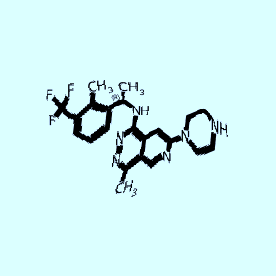 Cc1c([C@@H](C)Nc2nnc(C)c3cnc(N4CCNCC4)cc23)cccc1C(F)(F)F